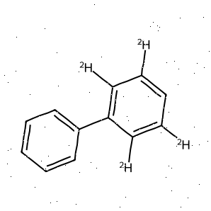 [2H]c1cc([2H])c([2H])c(-c2ccccc2)c1[2H]